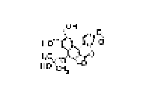 CC(C)(O)COc1c2c(c(-c3ccc4c(c3)OCO4)c3cc(CO)c(CO)cc13)C(=O)OC2